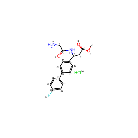 COC(=O)CC(NC(=O)CN)c1ccc(-c2ccc(F)cc2)cc1.Cl